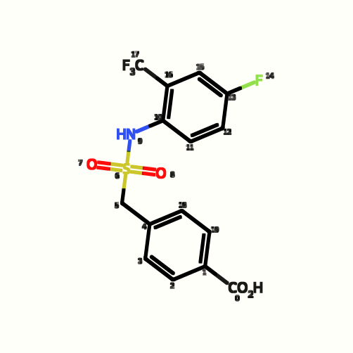 O=C(O)c1ccc(CS(=O)(=O)Nc2ccc(F)cc2C(F)(F)F)cc1